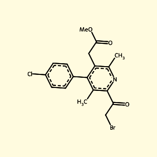 COC(=O)Cc1c(C)nc(C(=O)CBr)c(C)c1-c1ccc(Cl)cc1